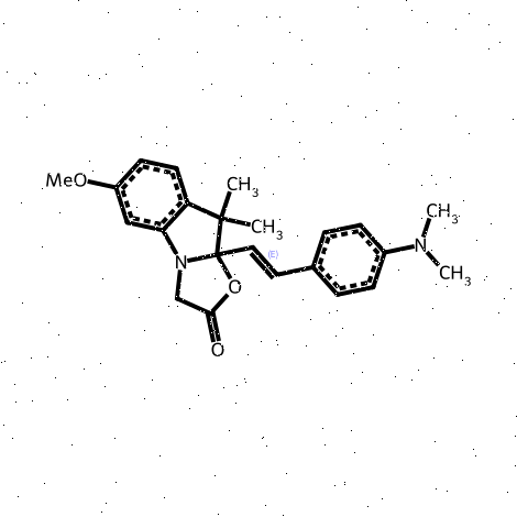 COc1ccc2c(c1)N1CC(=O)OC1(/C=C/c1ccc(N(C)C)cc1)C2(C)C